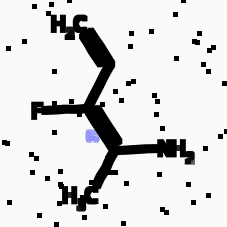 C=C/C(F)=C(/C)N